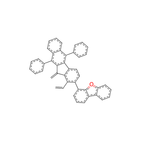 C=Cc1c(-c2cccc3c2oc2ccccc23)ccc2c1C(=C)c1c-2c(-c2ccccc2)c2ccccc2c1-c1ccccc1